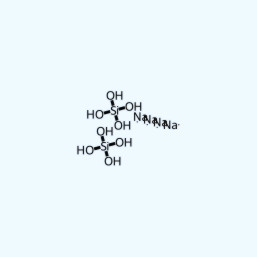 O[Si](O)(O)O.O[Si](O)(O)O.[Na].[Na].[Na].[Na]